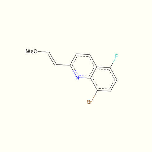 COC=Cc1ccc2c(F)ccc(Br)c2n1